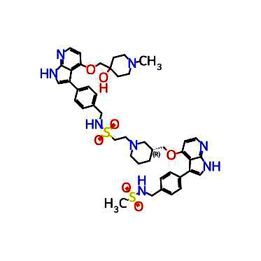 CN1CCC(O)(COc2ccnc3[nH]cc(-c4ccc(CNS(=O)(=O)CCN5CCC[C@@H](COc6ccnc7[nH]cc(-c8ccc(CNS(C)(=O)=O)cc8)c67)C5)cc4)c23)CC1